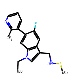 CC(C)(C)Cn1cc(CNSC(C)(C)C)c2cc(F)c(-c3cccnc3C(F)(F)F)cc21